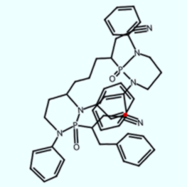 N#CCC(CCCC1CCN(c2ccccc2)P(=O)(C(CC#N)Cc2ccccc2)N1c1ccccc1)P1(=O)N(c2ccccc2)CCCN1c1ccccc1